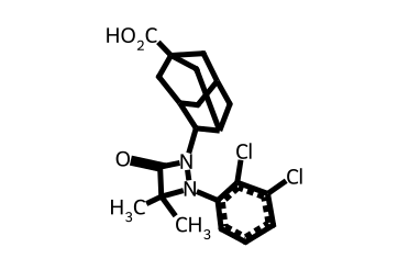 CC1(C)C(=O)N(C2C3CC4CC2CC(C(=O)O)(C4)C3)N1c1cccc(Cl)c1Cl